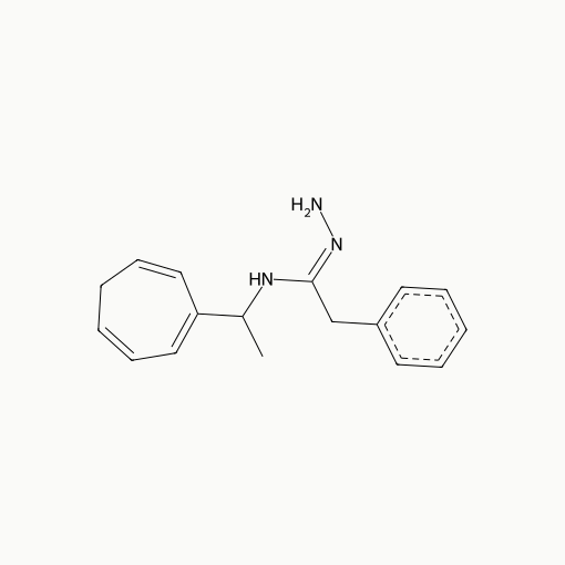 CC(N/C(Cc1ccccc1)=N\N)C1=CC=CCC=C1